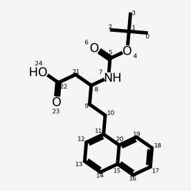 CC(C)(C)OC(=O)NC(CCc1cccc2ccccc12)CC(=O)O